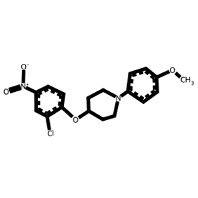 COc1ccc(N2CCC(Oc3ccc([N+](=O)[O-])cc3Cl)CC2)cc1